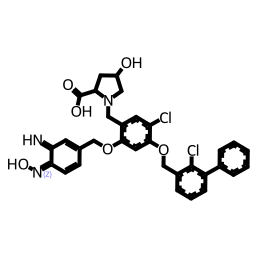 N=C1C=C(COc2cc(OCc3cccc(-c4ccccc4)c3Cl)c(Cl)cc2CN2CC(O)CC2C(=O)O)C=C/C1=N/O